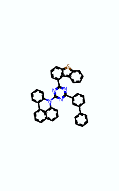 c1ccc(-c2cccc(-c3nc(-c4cccc5sc6ccccc6c45)nc(N4c5ccccc5-c5cccc6cccc4c56)n3)c2)cc1